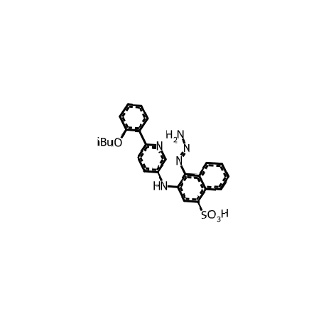 CC(C)COc1ccccc1-c1ccc(Nc2cc(S(=O)(=O)O)c3ccccc3c2N=NN)cn1